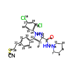 Cc1c(C(=O)NN2CCCCC2)nn(-c2ccc(Cl)cc2Cl)c1-c1ccc(CCSC#N)cc1